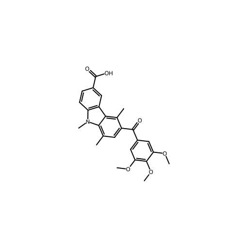 COc1cc(C(=O)c2cc(C)c3c(c2C)c2cc(C(=O)O)ccc2n3C)cc(OC)c1OC